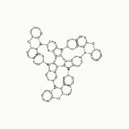 c1ccc(-n2c3ccc(B4c5ccccc5Oc5ccccc54)cc3c3c2c2c4cc(B5c6ccccc6Oc6ccccc65)ccc4n(-c4ccccc4)c2c2c4cc(B5c6ccccc6Oc6ccccc65)ccc4n(-c4ccccc4)c32)cc1